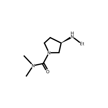 CCN[C@@H]1CCN(C(=O)N(C)C)C1